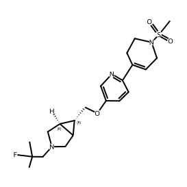 CC(C)(F)CN1CC2[C@@H](COc3ccc(C4=CCN(S(C)(=O)=O)CC4)nc3)[C@@H]2C1